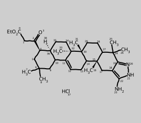 CCOC(=O)CC(=O)[C@@H]1CC(C)(C)CC2C3=CCC4[C@@]5(C)Cc6c(n[nH]c6N)C(C)(C)C5CC[C@@]4(C)[C@]3(C)CC[C@@H]21.Cl